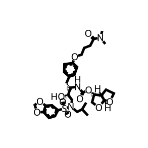 CC(C)CN(C[C@@H](O)[C@H](Cc1ccc(OCCCC(=O)N(C)C)cc1)NC(=O)O[C@@H]1CO[C@H]2OCC[C@H]21)S(=O)(=O)c1ccc2c(c1)OCO2